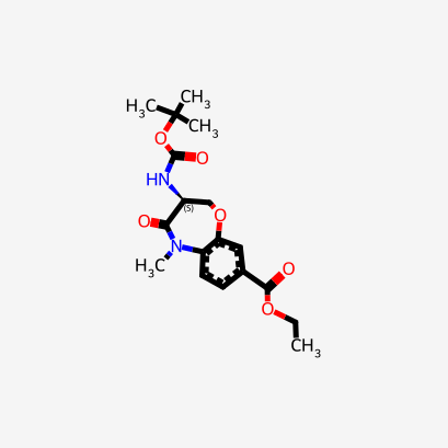 CCOC(=O)c1ccc2c(c1)OC[C@H](NC(=O)OC(C)(C)C)C(=O)N2C